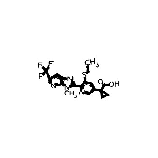 CCSc1cc(C2(C(=O)O)CC2)cnc1-c1nc2cc(C(F)(F)F)cnc2n1C